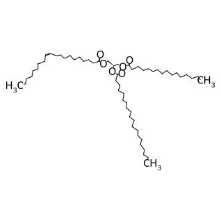 CCCCCCCC/C=C\CCCCCCCCCC(=O)OC[C@@H](COC(=O)CCCCCCCCCCCCCCC)OC(=O)CCCCCCCCCCCCCCCCCCC